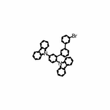 Brc1cccc(-c2cccc(-c3cc(-n4c5ccccc5c5ccccc54)ccc3-n3c4ccccc4c4ccccc43)c2)c1